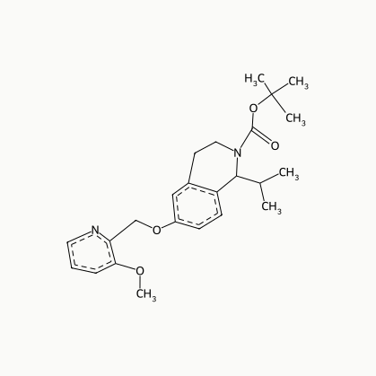 COc1cccnc1COc1ccc2c(c1)CCN(C(=O)OC(C)(C)C)C2C(C)C